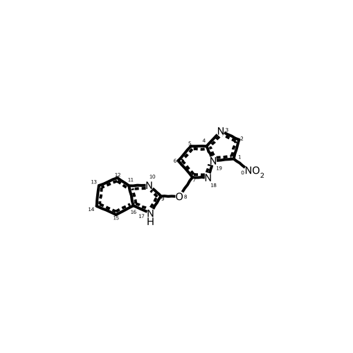 O=[N+]([O-])c1cnc2ccc(Oc3nc4ccccc4[nH]3)nn12